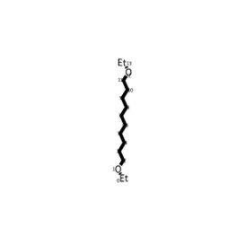 CCOCCCC[CH]CCCCCOCC